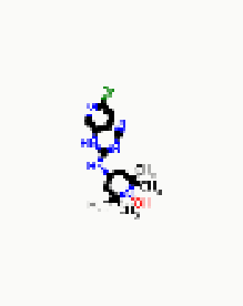 CC1(C)CC(NC(=NC#N)Nc2ccc(Br)nc2)CC(C)(C)N1O